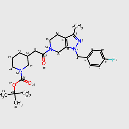 Cc1nn(Cc2ccc(F)cc2)c2c1CCN(C(=O)CC1CCCN(C(=O)OC(C)(C)C)C1)C2